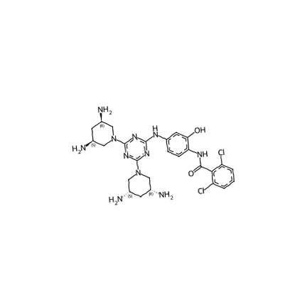 N[C@@H]1C[C@H](N)CN(c2nc(Nc3ccc(NC(=O)c4c(Cl)cccc4Cl)c(O)c3)nc(N3C[C@H](N)C[C@H](N)C3)n2)C1